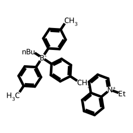 CCCC[B-](c1ccc(C)cc1)(c1ccc(C)cc1)c1ccc(C)cc1.CC[n+]1cccc2ccccc21